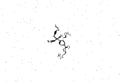 C=CC[C@@H]1C[C@@H](C(=O)OCC)CC=C1C(C#N)(C#N)CC#CSI